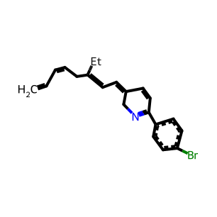 C=C/C=C\C/C(=C/C=C1/C=CC(c2ccc(Br)cc2)=NC1)CC